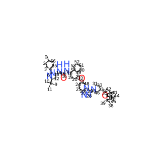 Cc1ccc(-n2nc(C(C)(C)C)cc2NC(=O)N[C@H]2CC[C@@H](Oc3ccc4nnc(N5CC[C@H](CO[Si](C(C)C)(C(C)C)C(C)C)C5)n4c3)c3ccccc32)cc1